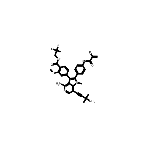 C=C(F)C(=O)Nc1ccc(-c2c(-c3ccc(C(=O)NCC(F)(F)F)c(OC)c3)c3c(N)ncc(C#CC(C)(C)N)c3n2C)cc1